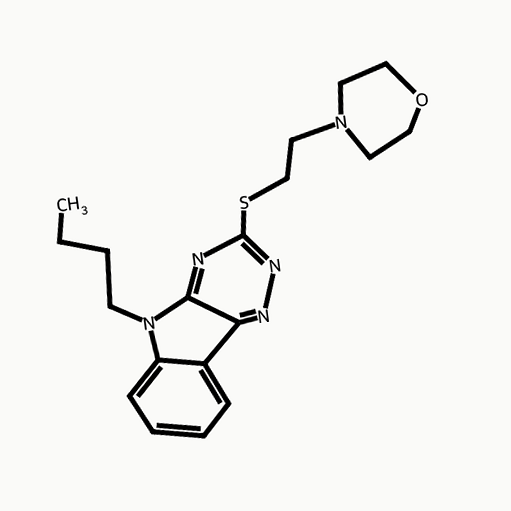 CCCCn1c2ccccc2c2nnc(SCCN3CCOCC3)nc21